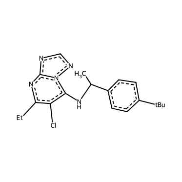 CCc1nc2ncnn2c(NC(C)c2ccc(C(C)(C)C)cc2)c1Cl